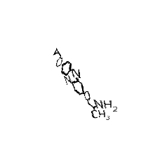 CC(N)COc1ccc2nc3cc(OCC4CC4)ccc3nc2c1